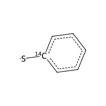 [S][14c]1ccccc1